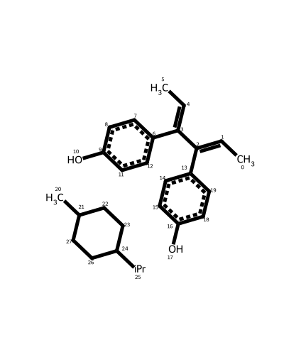 C/C=C(/C(=C/C)c1ccc(O)cc1)c1ccc(O)cc1.CC1CCC(C(C)C)CC1